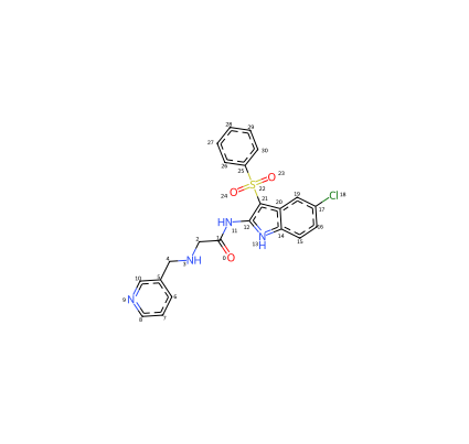 O=C(CNCc1cccnc1)Nc1[nH]c2ccc(Cl)cc2c1S(=O)(=O)c1ccccc1